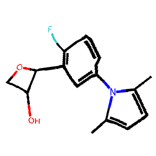 Cc1ccc(C)n1-c1ccc(F)c(C2OCC2O)c1